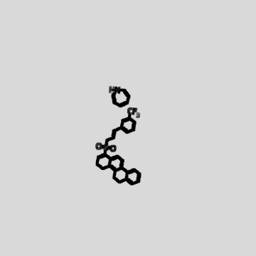 C1=CC=CNC=C1.O=S(=O)(CC=Cc1cccc(C(F)(F)F)c1)C1=CCCc2c1ccc1c2CCc2ccccc2-1